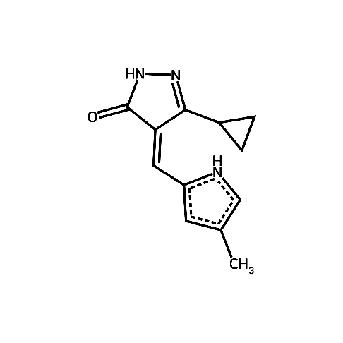 Cc1c[nH]c(C=C2C(=O)NN=C2C2CC2)c1